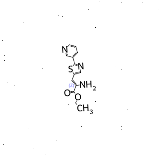 CCOC(=O)/C(N)=C/c1cnc(-c2cccnc2)s1